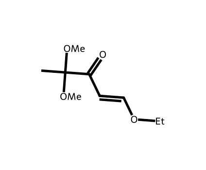 CCOC=CC(=O)C(C)(OC)OC